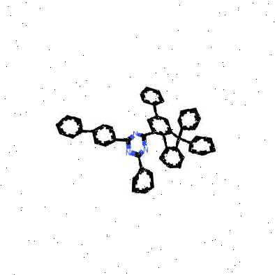 c1ccc(-c2ccc(-c3nc(-c4ccccc4)nc(-c4cc(-c5ccccc5)cc5c4-c4ccccc4C5(c4ccccc4)c4ccccc4)n3)cc2)cc1